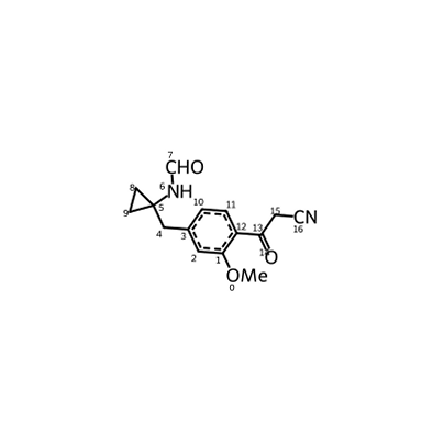 COc1cc(CC2(NC=O)CC2)ccc1C(=O)CC#N